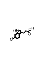 O=C(O)CCc1c[nH]c2cc(Cl)ccc12